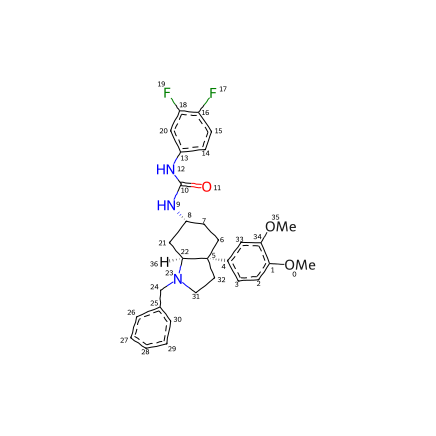 COc1ccc([C@@]23CC[C@@H](NC(=O)Nc4ccc(F)c(F)c4)C[C@@H]2N(Cc2ccccc2)CC3)cc1OC